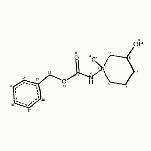 O=C(N[N+]1([O-])CCCC(O)C1)OCc1ccccc1